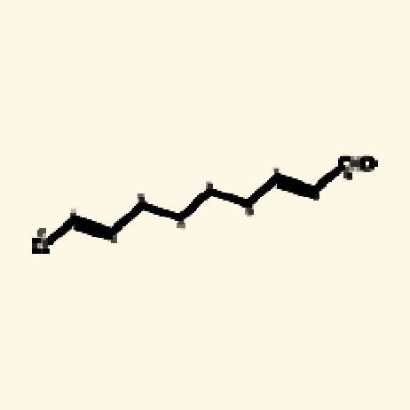 CCC=CCCCCC=C[C]=O